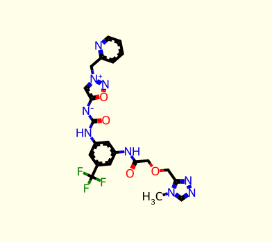 Cn1cnnc1COCC(=O)Nc1cc(NC(=O)[N-]c2c[n+](Cc3ccccn3)no2)cc(C(F)(F)F)c1